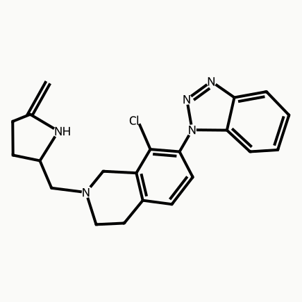 C=C1CCC(CN2CCc3ccc(-n4nnc5ccccc54)c(Cl)c3C2)N1